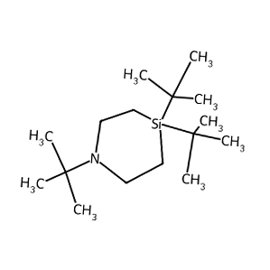 CC(C)(C)N1CC[Si](C(C)(C)C)(C(C)(C)C)CC1